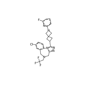 Fc1cccc(N2CC3(CC(c4nnc5n4-c4ccc(Cl)cc4CN(CC(F)(F)F)C5)C3)C2)n1